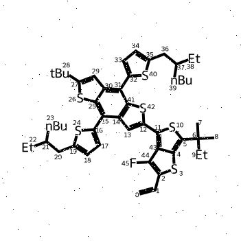 C=Cc1sc2c(C(C)(C)CC)sc(-c3cc4c(-c5ccc(CC(CC)CCCC)s5)c5sc(C(C)(C)C)cc5c(-c5ccc(CC(CC)CCCC)s5)c4s3)c2c1F